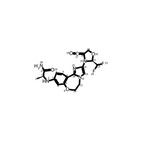 C[C@H](Nc1ccc2c(c1)OCCn1cc(N3C(=C=O)CO[C@H]3C(F)F)nc1-2)C(N)=O